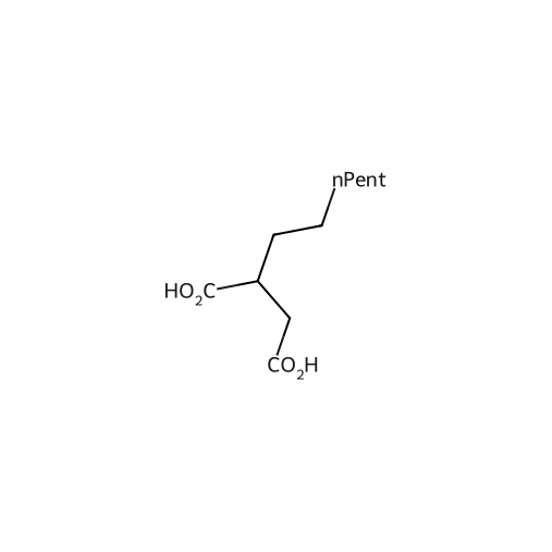 CCCCCCCC(CC(=O)O)C(=O)O